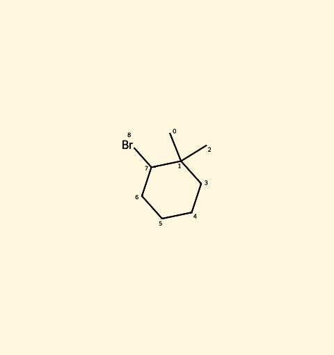 CC1(C)CCCC[C]1Br